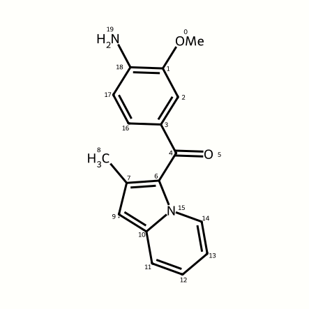 COc1cc(C(=O)c2c(C)[c]c3ccccn23)ccc1N